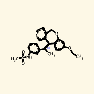 CCOc1ccc2c(c1)OCc1ccccc1/C2=C(/C)c1cccc(NS(C)(=O)=O)c1